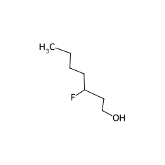 CCCCC(F)CCO